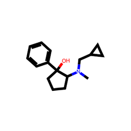 CN(CC1CC1)C1CCCC1(O)c1ccccc1